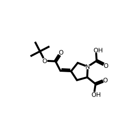 CC(C)(C)OC(=O)/C=C1/CC(C(=O)O)N(C(=O)O)C1